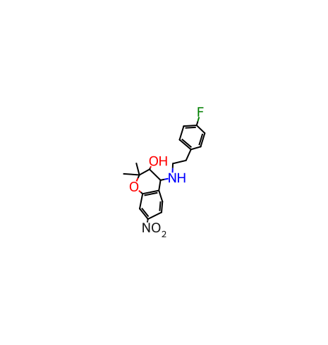 CC1(C)Oc2cc([N+](=O)[O-])ccc2C(NCCc2ccc(F)cc2)C1O